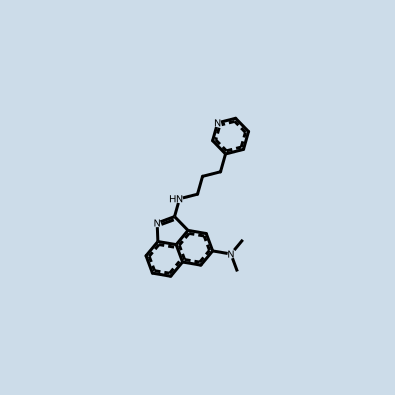 CN(C)c1cc2c3c(cccc3c1)N=C2NCCCc1cccnc1